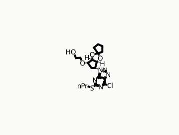 CCCSc1nc(Cl)c2nnn([C@@H]3C[C@H](OCCO)[C@H]4OC5(CCCC5)O[C@H]43)c2n1